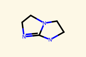 C1CN2CCN=C2[N]1